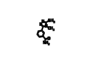 Cn1c([SiH3])nnc1-c1cccc(C(N)=O)c1